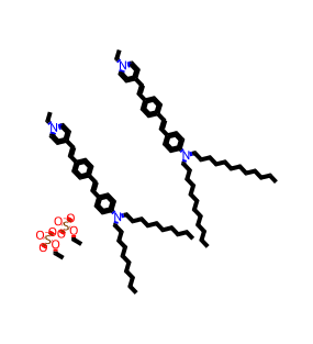 CCCCCCCCCCCCN(CCCCCCCCCCCC)c1ccc(/C=C/c2ccc(/C=C/c3cc[n+](CC)cc3)cc2)cc1.CCCCCCCCCCN(CCCCCCCCCC)c1ccc(/C=C/c2ccc(/C=C/c3cc[n+](CC)cc3)cc2)cc1.CCOS(=O)(=O)[O-].CCOS(=O)(=O)[O-]